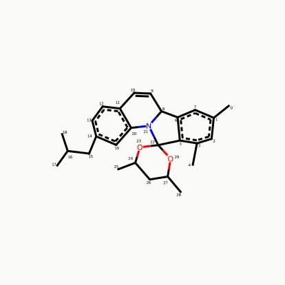 Cc1cc(C)c2c(c1)C1C=Cc3ccc(CC(C)C)cc3N1C21OC(C)CC(C)O1